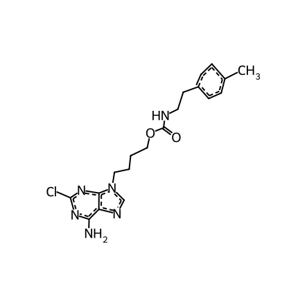 Cc1ccc(CCNC(=O)OCCCCn2cnc3c(N)nc(Cl)nc32)cc1